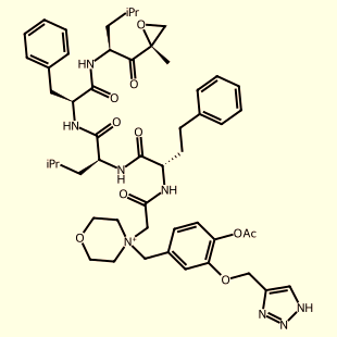 CC(=O)Oc1ccc(C[N+]2(CC(=O)N[C@@H](CCc3ccccc3)C(=O)N[C@@H](CC(C)C)C(=O)N[C@@H](Cc3ccccc3)C(=O)N[C@@H](CC(C)C)C(=O)[C@@]3(C)CO3)CCOCC2)cc1OCc1c[nH]nn1